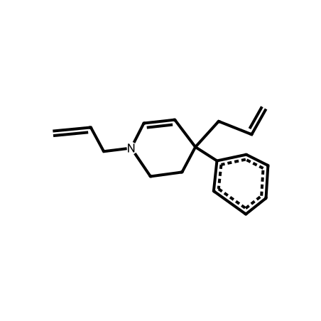 C=CCN1C=CC(CC=C)(c2ccccc2)CC1